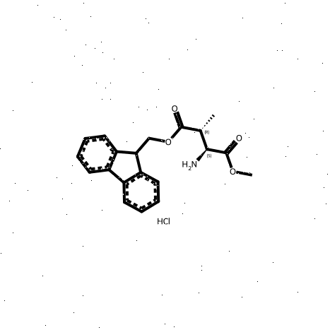 COC(=O)[C@@H](N)[C@@H](C)C(=O)OCC1c2ccccc2-c2ccccc21.Cl